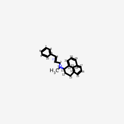 CN(C/C=C/c1ccccc1)C1CCc2cccc3cccc1c23